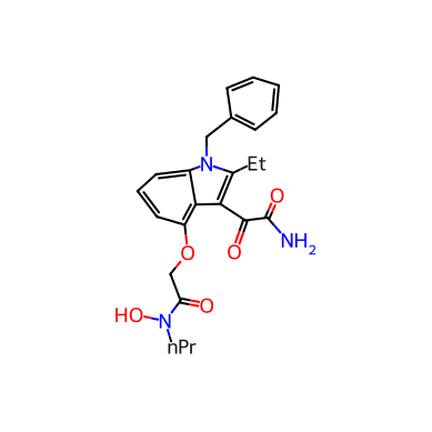 CCCN(O)C(=O)COc1cccc2c1c(C(=O)C(N)=O)c(CC)n2Cc1ccccc1